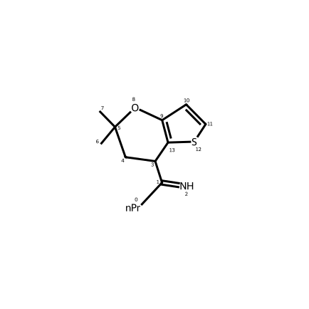 CCCC(=N)C1CC(C)(C)Oc2ccsc21